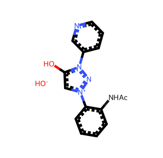 CC(=O)Nc1ccccc1-[n+]1cc(O)n(-c2cccnc2)n1.[OH-]